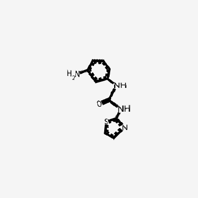 Nc1cccc(NC(=O)Nc2n[c]cs2)c1